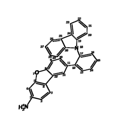 Nc1ccc2c(c1)oc1ccc(-c3ccccc3-n3c4ccccc4c4ccccc43)cc12